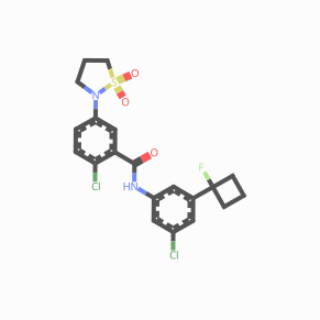 O=C(Nc1cc(Cl)cc(C2(F)CCC2)c1)c1cc(N2CCCS2(=O)=O)ccc1Cl